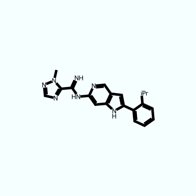 CC(C)c1ccccc1-c1cc2cnc(NC(=N)c3ncnn3C)cc2[nH]1